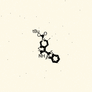 C[C@@H]1Cc2c(sc(N)c2-c2nc3ccccc3s2)CN1C(=O)OC(C)(C)C